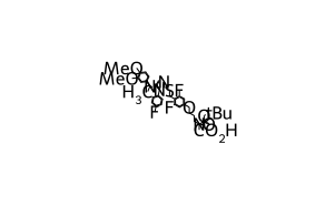 COc1ccc(N(C)c2cnc(SCc3c(F)cc(OCCCN(C(=O)O)C(=O)OC(C)(C)C)cc3F)n2-c2ccc(F)cc2)cc1OC